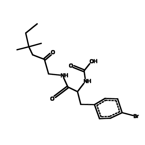 CCC(C)(C)CC(=O)CNC(=O)C(Cc1ccc(Br)cc1)NC(=O)O